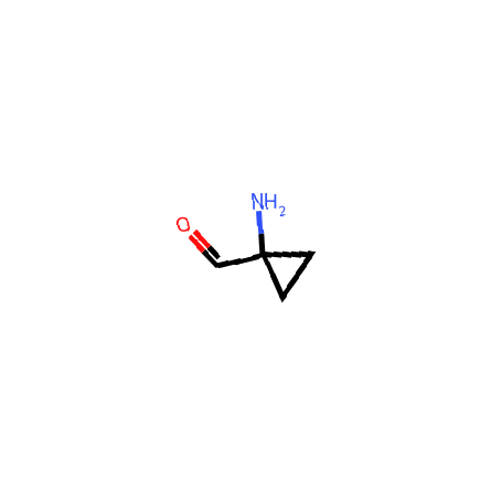 NC1(C=O)CC1